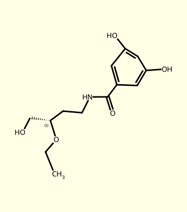 CCO[C@H](CO)CCNC(=O)c1cc(O)cc(O)c1